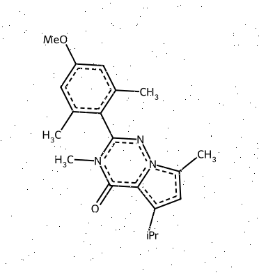 COc1cc(C)c(-c2nn3c(C)cc(C(C)C)c3c(=O)n2C)c(C)c1